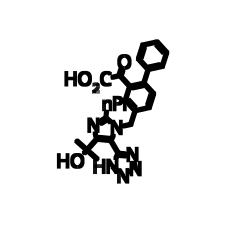 CCCc1nc(C(C)(C)O)c(-c2nnn[nH]2)n1Cc1ccc(-c2ccccc2)c(C(=O)C(=O)O)c1